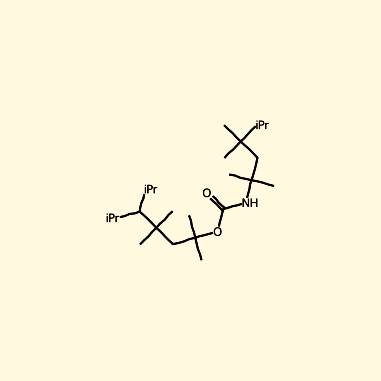 CC(C)C(C(C)C)C(C)(C)CC(C)(C)OC(=O)NC(C)(C)CC(C)(C)C(C)C